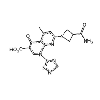 Cc1cc(N2CC(C(N)=O)C2)nc2c1c(=O)c(C(=O)O)cn2-c1ncns1